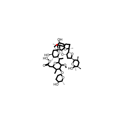 COC1C(O[C@H]2CC[C@H](O)[C@@H](C)O2)C(C)C(CC(=O)OO)OC1C(C)[C@H]1O[C@@]2(CC[C@@](C)(C3CC[C@@](C)([C@@H]4O[C@@H](C5O[C@](C)(O)[C@H](C)C[C@@H]5C)C[C@@H]4O[C@H]4CC[C@H](O)[C@@H](C)O4)O3)O2)C[C@H](O)[C@H]1C